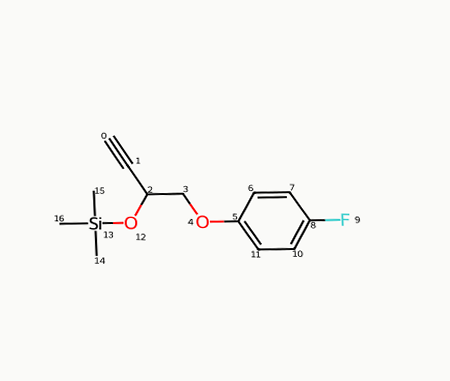 C#CC(COc1ccc(F)cc1)O[Si](C)(C)C